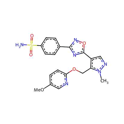 COc1ccc(OCc2c(-c3nc(-c4ccc(S(N)(=O)=O)cc4)no3)cnn2C)nc1